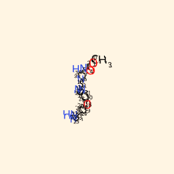 COCC(=O)NC1CCN(CCn2ncc3cc(Oc4ccc(-c5ccn[nH]5)cc4)ccc32)CC1